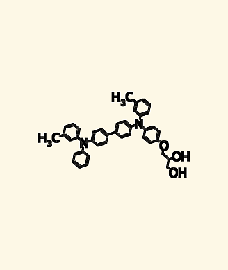 Cc1cccc(N(c2ccccc2)c2ccc(-c3ccc(N(c4ccc(OCC(O)CO)cc4)c4cccc(C)c4)cc3)cc2)c1